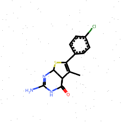 CC1=C(c2ccc(Cl)cc2)SC2N=C(N)NC(=O)C12